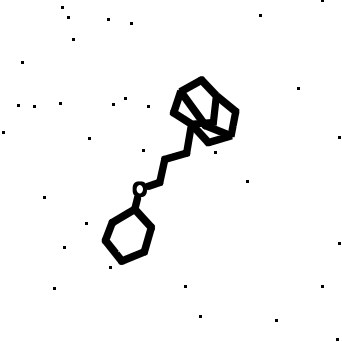 C1CCC(OCCCC23CC4CC(CC(C4)C2)C3)CC1